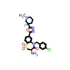 CN1CCCC(F)(c2nnc(-c3ccc4c(c3)N(Cc3ccc(Cl)cc3)C(=O)[C@@H](N)CS4(=O)=O)o2)C1